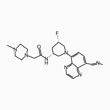 C/N=C/c1ccc(N2C[C@@H](F)C[C@@H](NC(=O)CN3CCN(C)CC3)C2)c2nccnc12